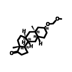 COCO[C@@H]1CC[C@@H]2C[C@H]3[C@@H](CC[C@@]4(C)C(=O)CC[C@H]34)C[C@@]2(C)C1